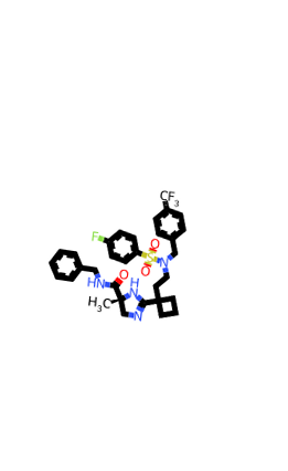 C[C@]1(C(=O)NCc2ccccc2)CN=C(C2(CCN(Cc3ccc(C(F)(F)F)cc3)S(=O)(=O)c3ccc(F)cc3)CCC2)N1